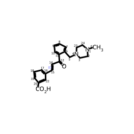 CN1CCN(Cc2ccccc2C(=O)/C=C/c2cccc(C(=O)O)c2)CC1